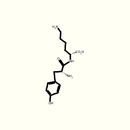 NCCCC[C@@H](NC(=O)[C@H](N)Cc1ccc(O)cc1)C(=O)O